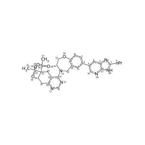 CCCc1nc2cc(-c3ccc4c(c3)CN(c3ncnc5c3CC(S(C)(=O)=O)(S(C)(=O)=O)CC5)CCO4)cnc2[nH]1